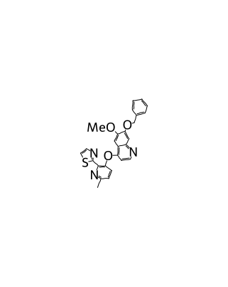 COc1cc2c(Oc3ccc(C)nc3-c3nccs3)ccnc2cc1OCc1ccccc1